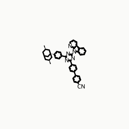 C[C@@H]1CC2C[C@H](C)C[C@@](c3ccc(-c4nc(-c5ccc(-c6ccc(C#N)cc6)cc5)nc(-n5c6ccccc6c6cccnc65)n4)cc3)(C2)C1